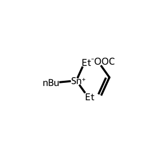 C=CC(=O)[O-].CCC[CH2][Sn+]([CH2]C)[CH2]C